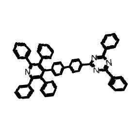 c1ccc(-c2nc(-c3ccccc3)nc(-c3ccc(-c4ccc(-c5c(-c6ccccc6)c(-c6ccccc6)nc(-c6ccccc6)c5-c5ccccc5)cc4)cc3)n2)cc1